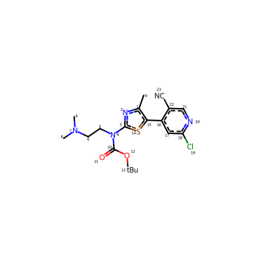 Cc1nc(N(CCN(C)C)C(=O)OC(C)(C)C)sc1-c1cc(Cl)ncc1C#N